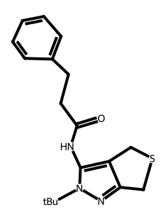 CC(C)(C)n1nc2c(c1NC(=O)CCc1ccccc1)CSC2